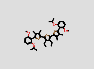 CCc1c(-c2sc(-c3c(OC)cccc3OC(C)C)c(C)c2C)sc(-c2sc(-c3c(OC)cccc3OC(C)C)c(C)c2C)c1CC